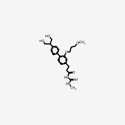 CNC(=N)NC(=O)CCc1ccc(-c2ccc(C(CO)CO)cc2)c(OCCCOC)c1